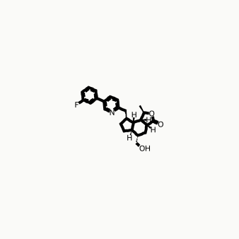 C[C@H]1OC(=O)[C@@H]2C[C@H](CO)[C@H]3CC[C@@H](Cc4ccc(-c5cccc(F)c5)cn4)[C@@H]3[C@H]12